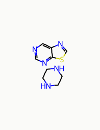 C1CNCCN1.c1ncc2ncsc2n1